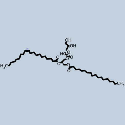 CCCCCCCC/C=C\CCCCCCCCCC(=O)O[C@H](COC(=O)CCCCCCCCCCCCCCCCC)COP(=O)(O)OC[C@@H](O)CO